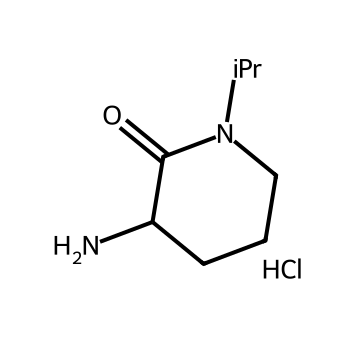 CC(C)N1CCCC(N)C1=O.Cl